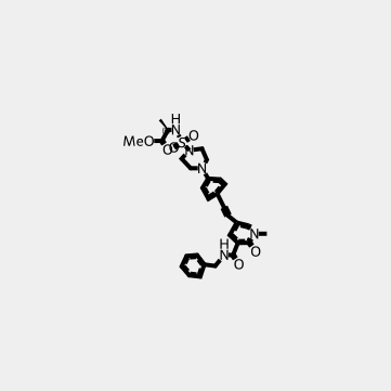 COC(=O)[C@@H](C)NS(=O)(=O)N1CCN(c2ccc(C#Cc3cc(C(=O)NCc4ccccc4)c(=O)n(C)c3)cc2)CC1